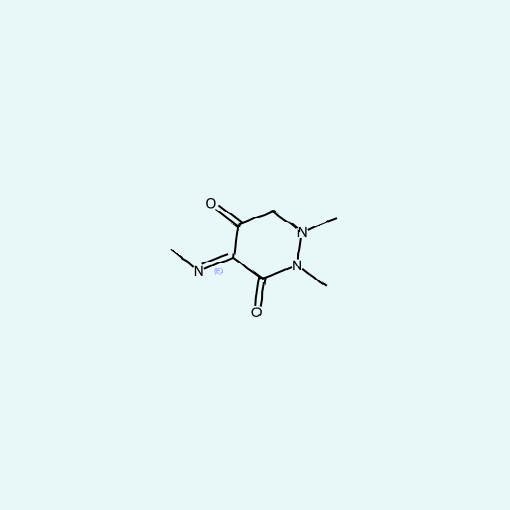 C/N=C1\C(=O)CN(C)N(C)C1=O